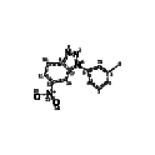 Cc1cccc(-n2nnc3ccc([N+](=O)[O-])cc32)c1